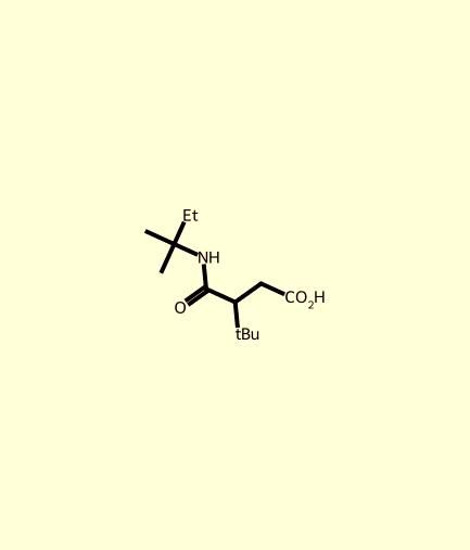 CCC(C)(C)NC(=O)C(CC(=O)O)C(C)(C)C